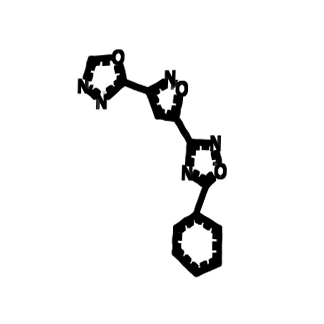 c1ccc(-c2nc(-c3cc(-c4nnco4)no3)no2)cc1